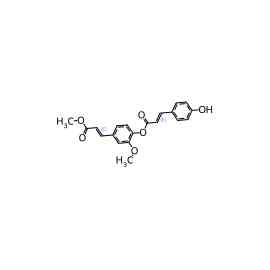 COC(=O)/C=C/c1ccc(OC(=O)/C=C/c2ccc(O)cc2)c(OC)c1